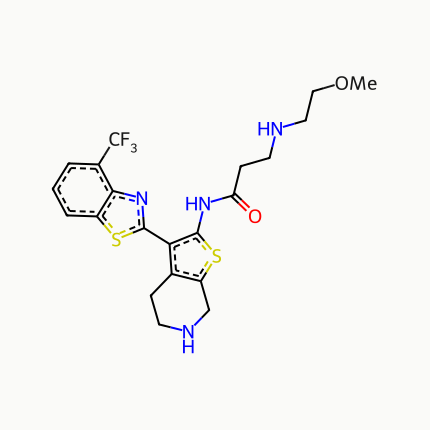 COCCNCCC(=O)Nc1sc2c(c1-c1nc3c(C(F)(F)F)cccc3s1)CCNC2